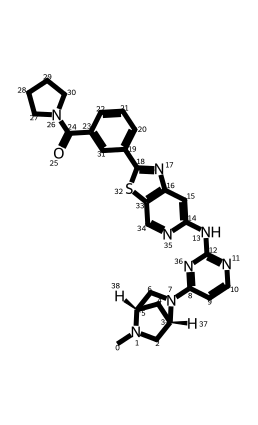 CN1C[C@@H]2C[C@H]1CN2c1ccnc(Nc2cc3nc(-c4cccc(C(=O)N5CCCC5)c4)sc3cn2)n1